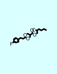 CCCCC1COC(C2COC(CCc3ccc(F)cc3)OC2)OC1